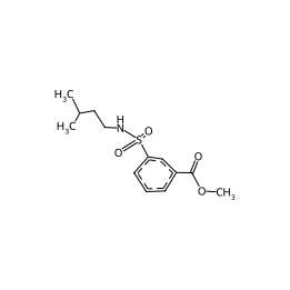 COC(=O)c1cccc(S(=O)(=O)NCCC(C)C)c1